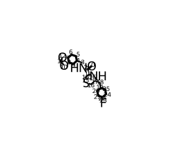 O=C(NCc1ccc2c(c1)OCO2)[C@@H]1CSCC(Cc2ccc(F)cc2)N1